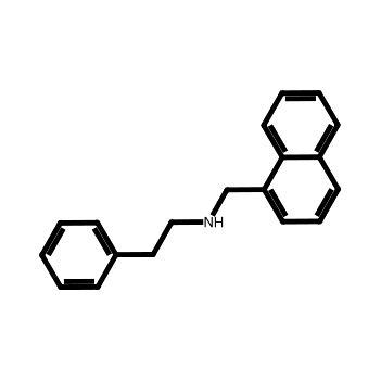 c1ccc(CCNCc2cccc3ccccc23)cc1